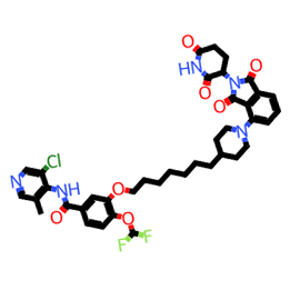 Cc1cncc(Cl)c1NC(=O)c1ccc(OC(F)F)c(OCCCCCCCC2CCN(c3cccc4c3C(=O)N(C3CCC(=O)NC3=O)C4=O)CC2)c1